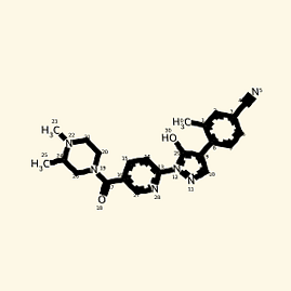 Cc1cc(C#N)ccc1-c1cnn(-c2ccc(C(=O)N3CCN(C)C(C)C3)cn2)c1O